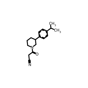 CC(C)c1ccc(C2CCCN(C(=O)CC#N)C2)cc1